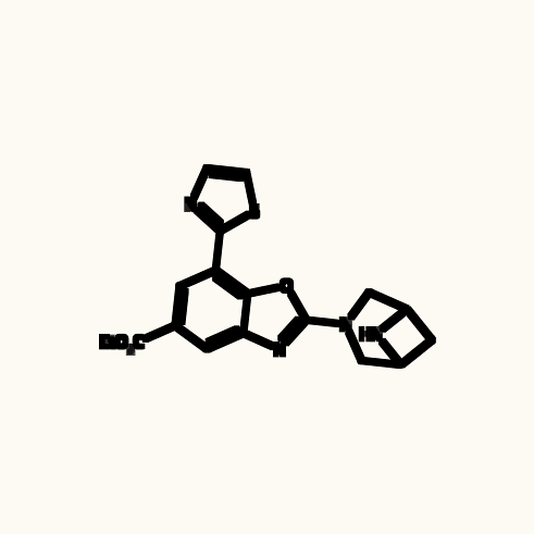 CCOC(=O)c1cc(-c2nccs2)c2oc(N3CC4CC(C3)N4)nc2c1